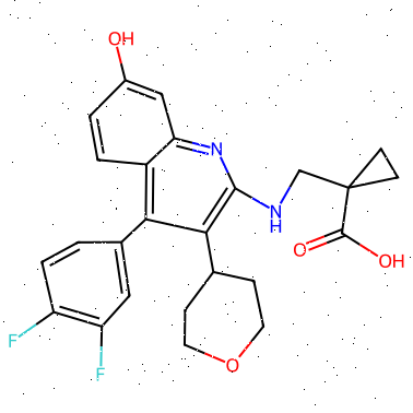 O=C(O)C1(CNc2nc3cc(O)ccc3c(-c3ccc(F)c(F)c3)c2C2CCOCC2)CC1